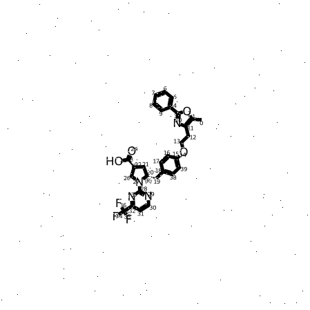 Cc1oc(-c2ccccc2)nc1CCOc1ccc(C[C@H]2C[C@H](C(=O)O)CN2c2nccc(C(F)(F)F)n2)cc1